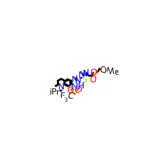 COCCOC(=O)c1nnc(N=Nc2cc3c(cc2NS(=O)(=O)CC(F)(F)F)N(CC(C)C)C(C)CC3)s1